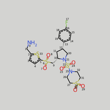 NCc1ccc(S(=O)(=O)C[C@@H]2C[C@H](c3ccc(F)cc3)CN2S(=O)(=O)N2CCS(=O)(=O)CC2)s1